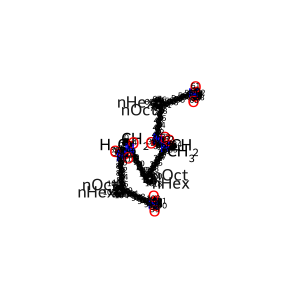 C=C(C)C(=O)N(CCCCCCCCC1CCC(CCCCCC)C(CCCCCCCC)C1CCCCCCCCN(C(=O)C(=C)C)C1CC(=O)N(CCCCCCCCC2C(CCCCCCCCN3C(=O)C=CC3=O)CCC(CCCCCC)C2CCCCCCCC)C1=O)C1CC(=O)N(CCCCCCCCC2C(CCCCCCCCN3C(=O)C=CC3=O)CCC(CCCCCC)C2CCCCCCCC)C1=O